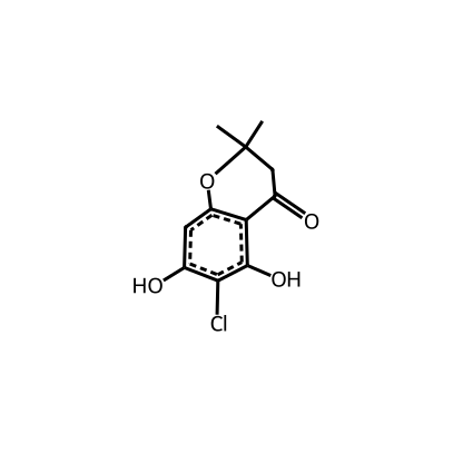 CC1(C)CC(=O)c2c(cc(O)c(Cl)c2O)O1